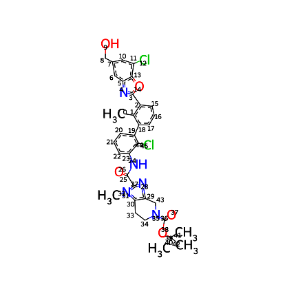 Cc1c(-c2nc3cc(CO)cc(Cl)c3o2)cccc1-c1cccc(NC(=O)c2nc3c(n2C)CCN(C(=O)OC(C)(C)C)C3)c1Cl